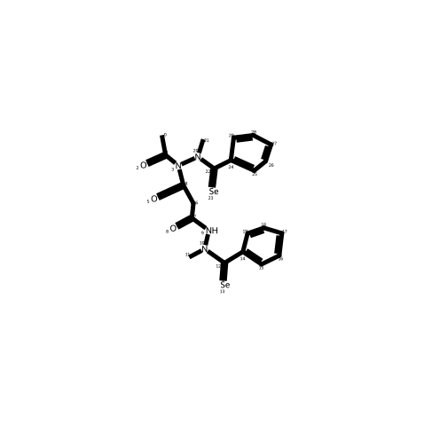 CC(=O)N(C(=O)CC(=O)NN(C)C(=[Se])c1ccccc1)N(C)C(=[Se])c1ccccc1